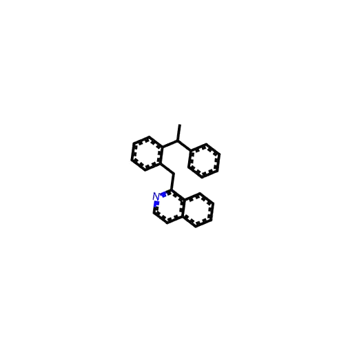 CC(c1ccccc1)c1ccccc1Cc1nccc2ccccc12